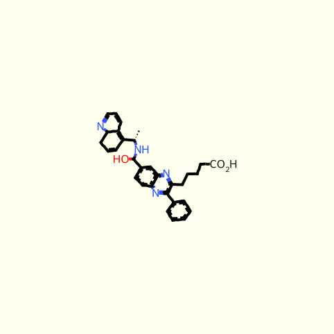 C[C@H](NC(O)c1ccc2nc(-c3ccccc3)c(CCCCC(=O)O)nc2c1)C1=C2C=CC=NC2CC=C1